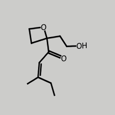 CCC(C)=CC(=O)C1(CCO)CCO1